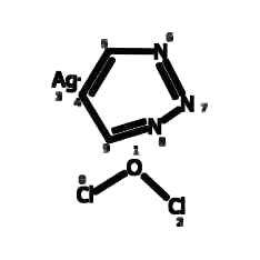 ClOCl.[Ag].c1cnnnc1